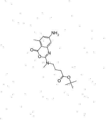 Cc1cc(N)cc2nc(N(C)CCCC(=O)OC(C)(C)C)oc(=O)c12